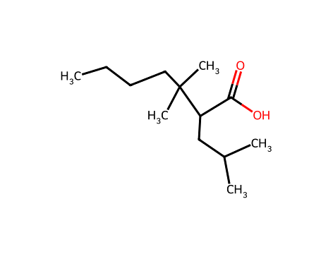 CCCCC(C)(C)C(CC(C)C)C(=O)O